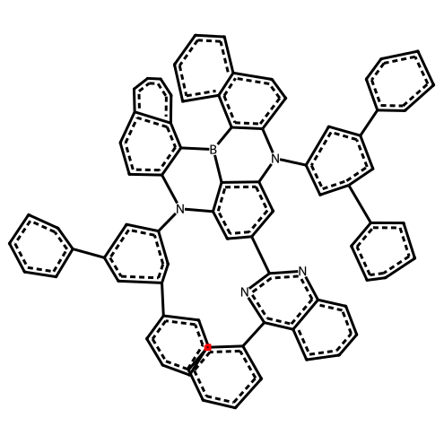 c1ccc(-c2cc(-c3ccccc3)cc(N3c4cc(-c5nc(-c6ccccc6)c6ccccc6n5)cc5c4B(c4c3ccc3ccccc43)c3c(ccc4ccccc34)N5c3cc(-c4ccccc4)cc(-c4ccccc4)c3)c2)cc1